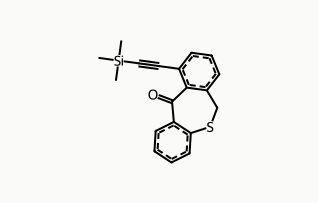 C[Si](C)(C)C#Cc1cccc2c1C(=O)c1ccccc1SC2